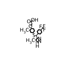 Cc1cc(SC(c2ccc(C(F)(F)F)cc2)c2nn[nH]c2C)ccc1OCC(=O)O